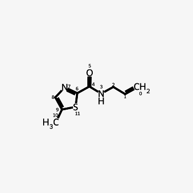 C=CCNC(=O)c1ncc(C)s1